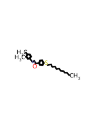 CCCCCCCCCCCCSc1ccc(C(=O)/C=C/c2ccc(C)c(C)c2)cc1